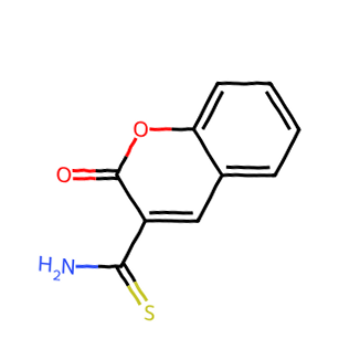 NC(=S)c1cc2ccccc2oc1=O